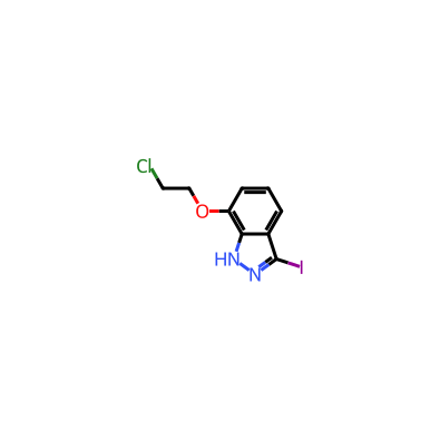 ClCCOc1cccc2c(I)n[nH]c12